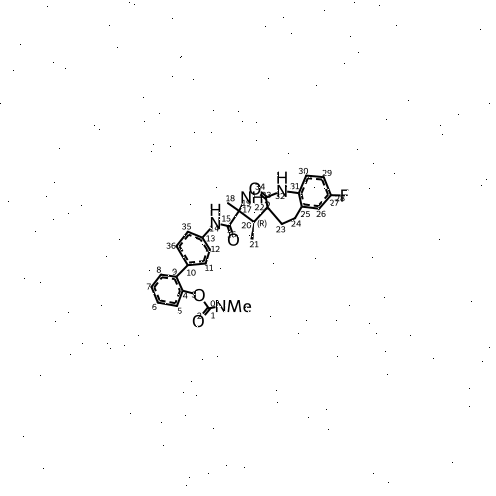 CNC(=O)Oc1ccccc1-c1ccc(NC(=O)C(C)(N)[C@H](C)C2CCc3cc(F)ccc3NC2=O)cc1